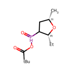 CC[C@H]1O[C@@H](C)CC1[PH](=O)OC(=O)C(C)(C)C